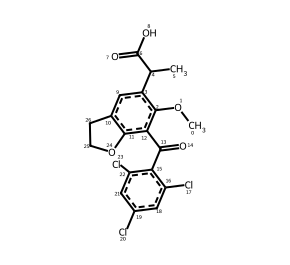 COc1c(C(C)C(=O)O)cc2c(c1C(=O)c1c(Cl)cc(Cl)cc1Cl)OCC2